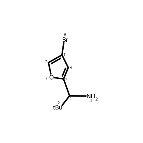 CC(C)(C)C(N)c1cc(Br)co1